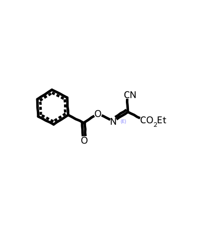 CCOC(=O)/C(C#N)=N/OC(=O)c1ccccc1